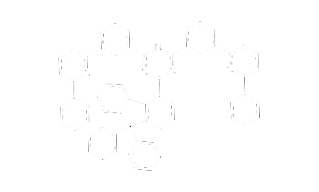 c1ccc(-c2cccc(-c3cccc(-c4nc(-c5cccc(-c6cccc(-c7ccccc7)n6)c5)nc(-c5cccc6c5-c5ccccc5C6(c5ccccc5)c5ccccc5)n4)c3)n2)cc1